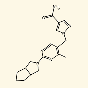 Cc1nc(N2CC3CCCC3C2)ncc1Cn1cc(C(N)=O)cn1